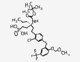 CCC[C@](CCc1ccc(Sc2cc(C(F)(F)F)ccc2OCOC)cc1Cl)(CCP(=O)(O)O)NC(=O)OC(C)(C)C